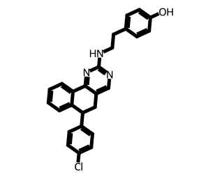 Oc1ccc(CCNc2ncc3c(n2)-c2ccccc2C(c2ccc(Cl)cc2)C3)cc1